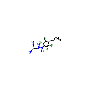 C=CCc1c(F)c(F)c(NNC=C(C#N)C#N)c(F)c1F